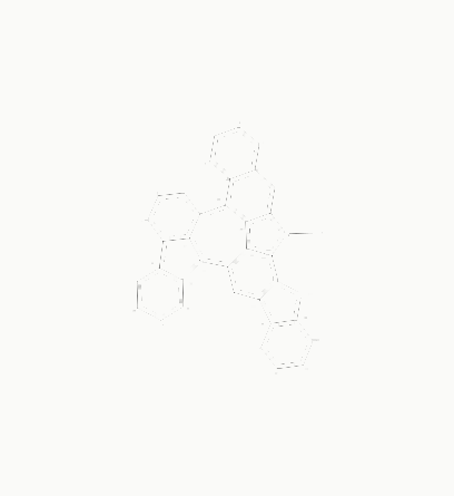 In1c2cc3ccccc3c3c4cccc5c6ccccc6n(c6cc7c8ccccc8oc7c1c6c32)c54